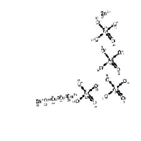 O=[As]([O-])([O-])[O-].O=[As]([O-])([O-])[O-].O=[As]([O-])([O-])[O-].O=[As]([O-])([O-])[O-].[Cu+2].[Cu+2].[Cu+2].[Zn+2].[Zn+2].[Zn+2]